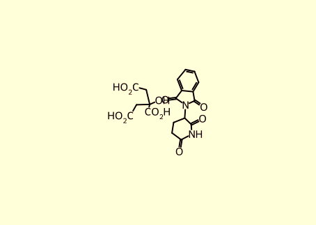 O=C(O)CC(O)(CC(=O)O)C(=O)O.O=C1CCC(N2C(=O)c3ccccc3C2=O)C(=O)N1